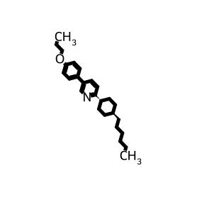 CCCCCC[C@H]1CC[C@H](c2ccc(-c3ccc(OCCC)cc3)cn2)CC1